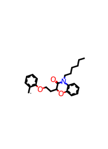 [CH2]c1ccccc1OCCC1Oc2ccccc2N(CCCCCC)C1=O